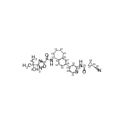 CC(C)(C)c1noc(C(=O)N[C@@H]2CCCCc3cc(-c4ccnc(NC(=O)[C@@H]5C[C@H]5C#N)c4)ccc32)n1